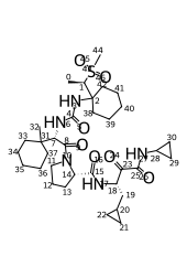 C[C@H](C1(NC(=O)N[C@H](C(=O)N2CCC[C@H]2C(=O)N[C@@H](CC2CC2)C(=O)C(=O)NC2CC2)C2(C)CCCCC2)CCCCC1)S(C)(=O)=O